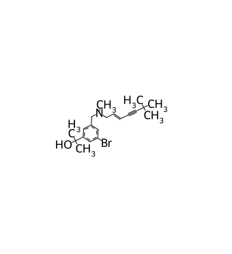 CN(CC=CC#CC(C)(C)C)Cc1cc(Br)cc(C(C)(C)O)c1